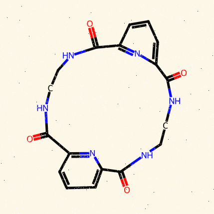 O=C1NCCNC(=O)c2cccc(n2)C(=O)NCCNC(=O)c2cccc1n2